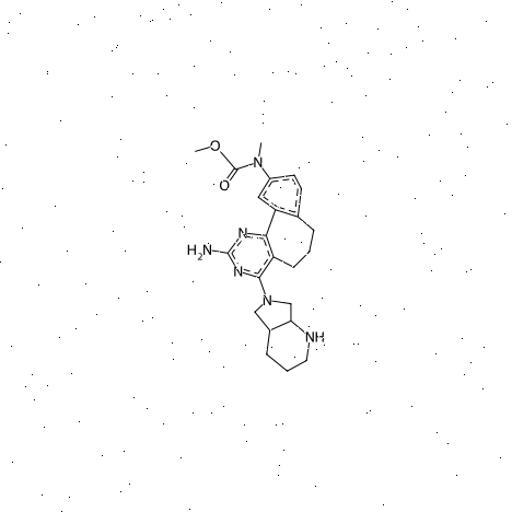 COC(=O)N(C)c1ccc2c(c1)-c1nc(N)nc(N3CC4CCCNC4C3)c1CCC2